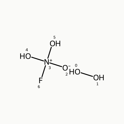 OO.[O-][N+](O)(O)F